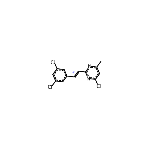 Cc1cc(Cl)nc(/C=C/c2cc(Cl)cc(Cl)c2)n1